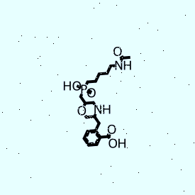 CC(=O)NCCCCCP(=O)(O)CC1CNC(Cc2ccccc2C(=O)O)CO1